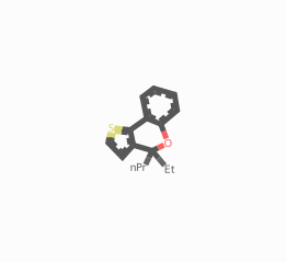 CCCC1(CC)Oc2ccccc2-c2sccc21